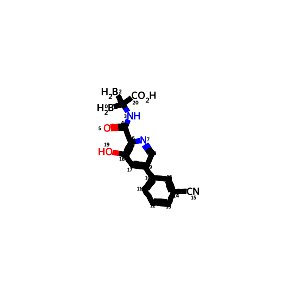 BC(B)(NC(=O)c1ncc(-c2cccc(C#N)c2)cc1O)C(=O)O